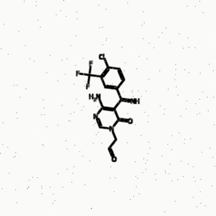 N=C(c1ccc(Cl)c(C(F)(F)F)c1)c1c(N)ncn(CC=O)c1=O